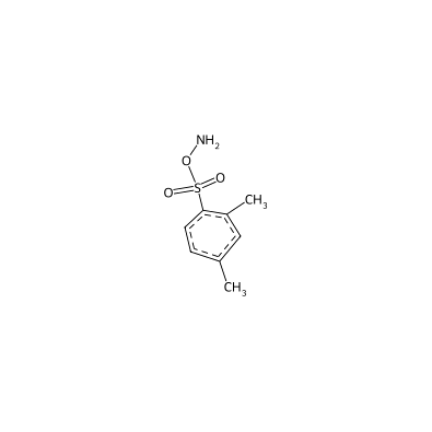 Cc1ccc(S(=O)(=O)ON)c(C)c1